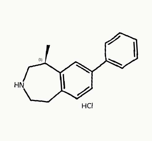 C[C@@H]1CNCCc2ccc(-c3ccccc3)cc21.Cl